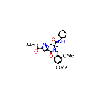 COC(=O)c1cc2n(n1)CC(C)(C(=O)NC1CCCCC1)N(Cc1ccc(OC)cc1OC)C2=O